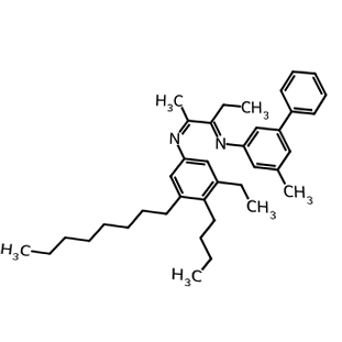 CCCCCCCCc1cc(N=C(C)C(CC)=Nc2cc(C)cc(-c3ccccc3)c2)cc(CC)c1CCCC